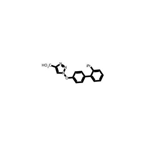 CC(C)c1ccccc1-c1ccc(On2cc(C(=O)O)nn2)cc1